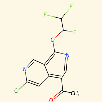 CC(=O)c1cnc(OC(F)C(F)F)c2cnc(Cl)cc12